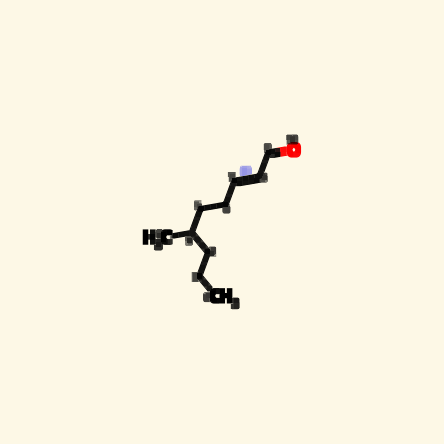 CCCC(C)CC/C=C/C=O